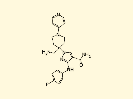 NCC1(n2cc(C(N)=O)c(Nc3ccc(F)cc3)n2)CCN(c2ccncc2)CC1